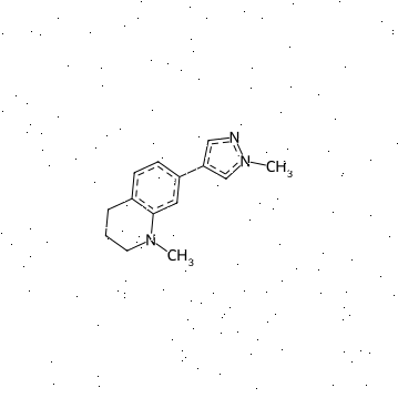 CN1CCCc2ccc(-c3cnn(C)c3)cc21